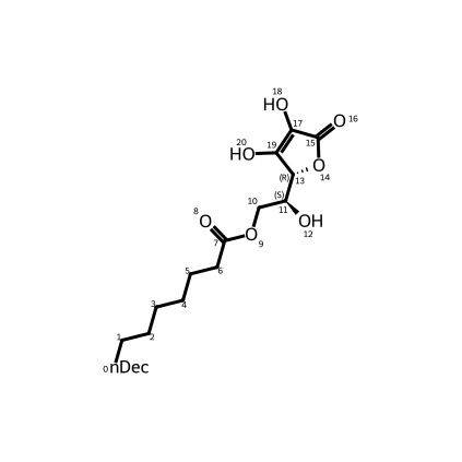 CCCCCCCCCCCCCCCCC(=O)OC[C@H](O)[C@H]1OC(=O)C(O)=C1O